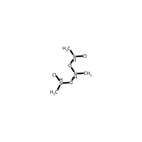 C[SiH](Cl)O[SiH](C)O[SiH](C)Cl